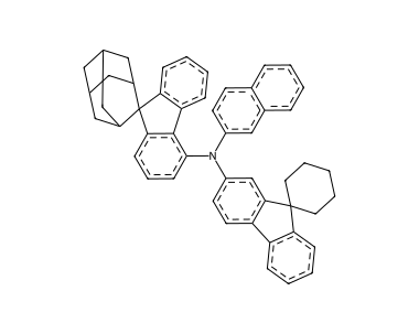 c1ccc2c(c1)-c1ccc(N(c3ccc4ccccc4c3)c3cccc4c3-c3ccccc3C43C4CC5CC(C4)CC3C5)cc1C21CCCCC1